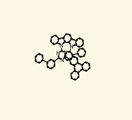 c1ccc(-c2cccc(-c3nc(-c4ccc5c6ccccc6c6ccccc6c5c4)nc(-n4c5ccccc5c5ccc6c7ccccc7n(-c7ccccc7-c7ccccc7)c6c54)n3)c2)cc1